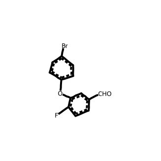 O=Cc1ccc(F)c(Oc2ccc(Br)cc2)c1